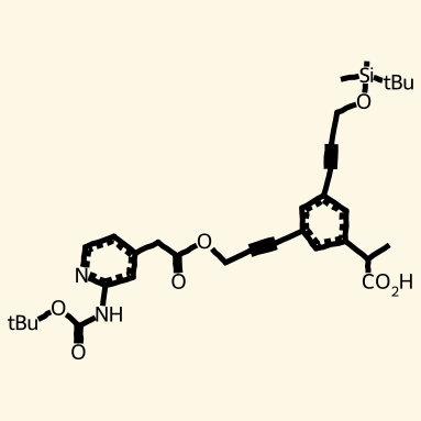 CC(C(=O)O)c1cc(C#CCOC(=O)Cc2ccnc(NC(=O)OC(C)(C)C)c2)cc(C#CCO[Si](C)(C)C(C)(C)C)c1